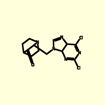 O=C1C2CCN(CC2)C1CN1C=NC2C(Cl)=NC(Cl)=NC21